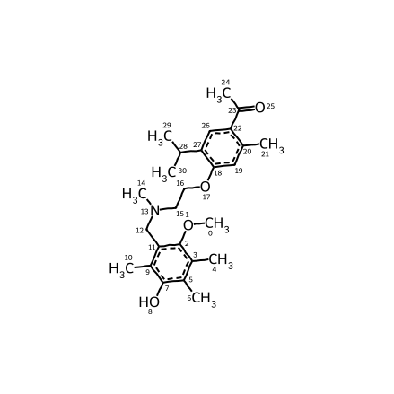 COc1c(C)c(C)c(O)c(C)c1CN(C)CCOc1cc(C)c(C(C)=O)cc1C(C)C